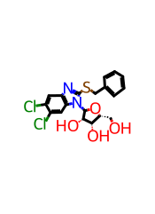 OC[C@H]1OC(n2c(SCc3ccccc3)nc3cc(Cl)c(Cl)cc32)[C@@H](O)[C@H]1O